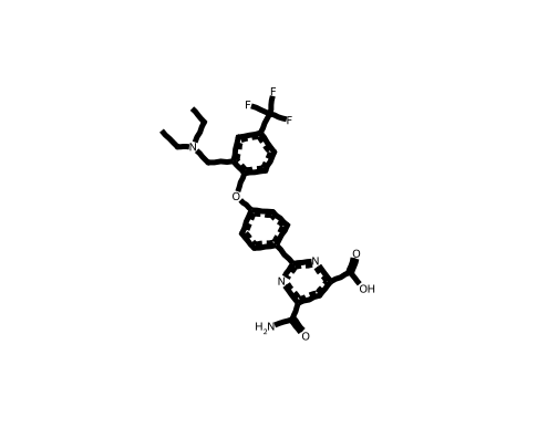 CCN(CC)Cc1cc(C(F)(F)F)ccc1Oc1ccc(-c2nc(C(N)=O)cc(C(=O)O)n2)cc1